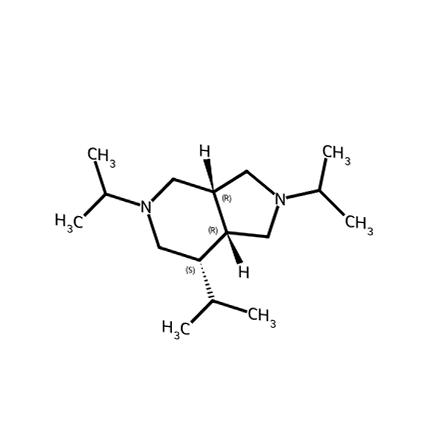 CC(C)[C@@H]1CN(C(C)C)C[C@@H]2CN(C(C)C)C[C@@H]21